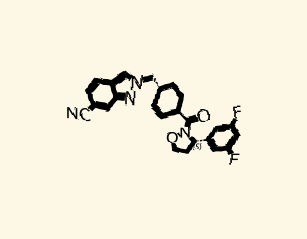 N#Cc1ccc2cn(C[C@H]3CC[C@H](C(=O)N4OCC[C@H]4c4cc(F)cc(F)c4)CC3)nc2c1